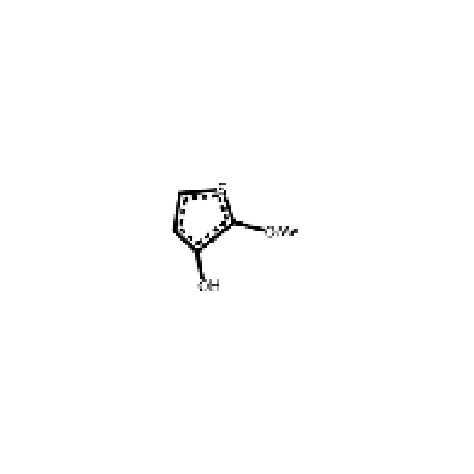 COc1sccc1O